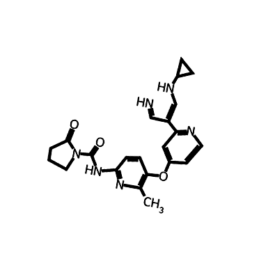 Cc1nc(NC(=O)N2CCCC2=O)ccc1Oc1ccnc(/C(C=N)=C/NC2CC2)c1